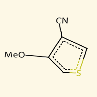 COc1cscc1C#N